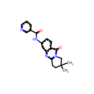 CC1(C)CCc2nc3cc(NC(=O)c4cccnc4)ccc3c(=O)n2C1